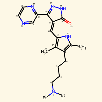 CCN(CC)CCCCc1c(C)[nH]c(C=C2C(=O)NN=C2c2cnccn2)c1C